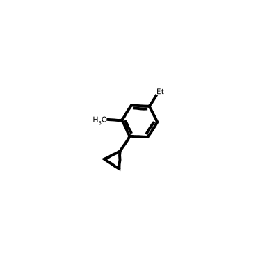 [CH2]Cc1ccc(C2CC2)c(C)c1